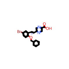 O=C(O)c1cnc(/C=C/c2cc(Br)ccc2OCc2ccccc2)cn1